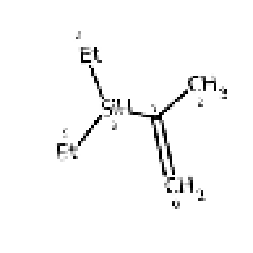 C=C(C)[SiH](CC)CC